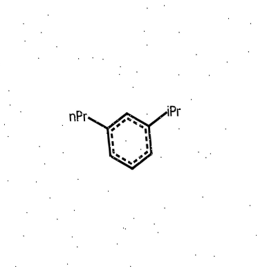 [CH2]C(C)c1cccc(CCC)c1